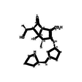 C[C@@H](O)[C@H]1C(=O)N2C(C(=O)O)=C(S[C@@H]3CCN(C[C@H]4CCCN4)C3)[C@H](C)[C@H]12